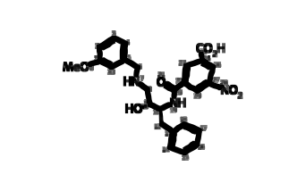 COc1cccc(CNC[C@@H](O)[C@H](Cc2ccccc2)NC(=O)c2cc(C(=O)O)cc([N+](=O)[O-])c2)c1